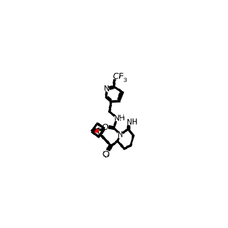 N=C1CCCC(C(=O)N2CC3CC2C3)N1C(=O)NCc1ccc(C(F)(F)F)nc1